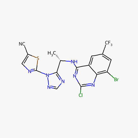 C[C@H](Nc1nc(Cl)nc2c(Br)cc(C(F)(F)F)cc12)c1ncnn1-c1ncc(C#N)s1